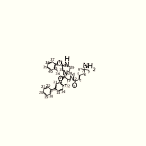 CN(C(=O)/C=C/CC(C)(C)N)[C@H](Cc1ccc(-c2ccccc2)cc1)C(=O)N1CCNC(=O)[C@H]1Cc1ccccc1